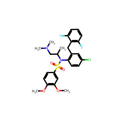 COc1ccc(S(=O)(=O)N(c2ccc(Cl)cc2Cc2c(F)cccc2F)C(C)CN(C)C)cc1OC